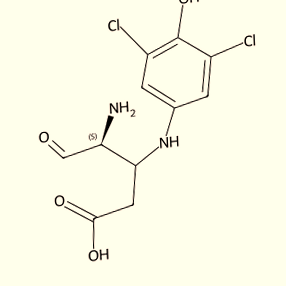 N[C@H](C=O)C(CC(=O)O)Nc1cc(Cl)c(O)c(Cl)c1